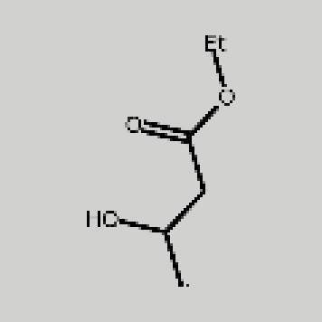 [CH2]C(O)CC(=O)OCC